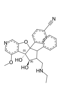 CCNCC1C(c2ccccc2)C2(c3ccc(C#N)cc3)Oc3cncc(OC)c3[C@]2(O)[C@@H]1O